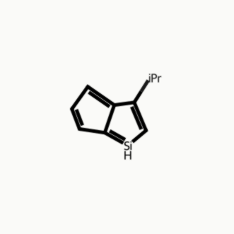 CC(C)C1=C[SiH]=C2C=CC=C12